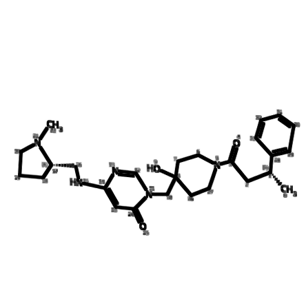 C[C@H](CC(=O)N1CCC(O)(Cn2cnc(NC[C@@H]3CCCN3C)cc2=O)CC1)c1ccccc1